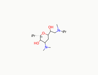 CC(C)[C@@H]1OC(C(O)CN(C)C(C)C)CC(N(C)C)C1O